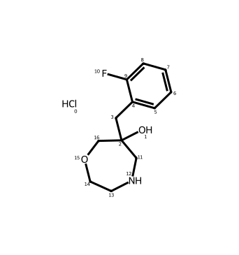 Cl.OC1(Cc2ccccc2F)CNCCOC1